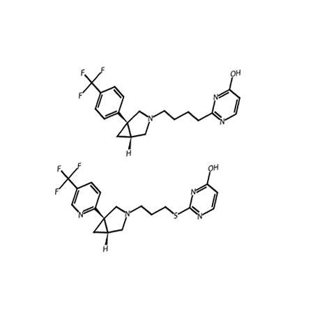 Oc1ccnc(CCCCN2C[C@@H]3C[C@]3(c3ccc(C(F)(F)F)cc3)C2)n1.Oc1ccnc(SCCCN2C[C@@H]3C[C@]3(c3ccc(C(F)(F)F)cn3)C2)n1